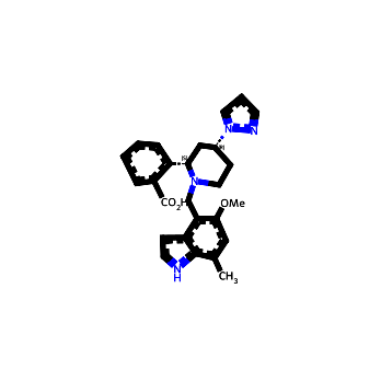 COc1cc(C)c2[nH]ccc2c1CN1CC[C@@H](n2cccn2)C[C@H]1c1ccccc1C(=O)O